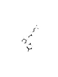 Cc1cn([C@@H]2O[C@H](C)[C@@H](O)[C@H]2OCC(=O)NCCN(C)C)c(=O)[nH]c1=O